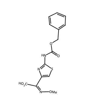 CO/N=C(/C(=O)O)c1csc(NC(=O)OCc2ccccc2)n1